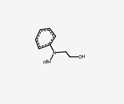 CCCCN(CCO)c1ccccc1